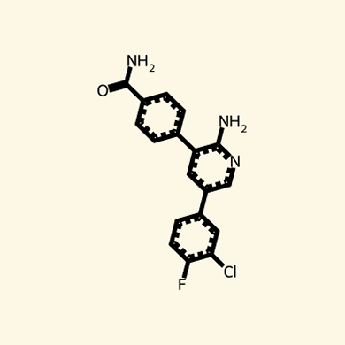 NC(=O)c1ccc(-c2cc(-c3ccc(F)c(Cl)c3)cnc2N)cc1